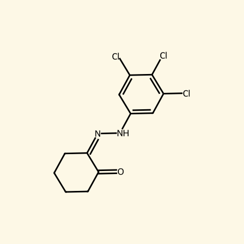 O=C1CCCCC1=NNc1cc(Cl)c(Cl)c(Cl)c1